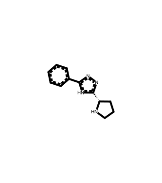 c1ccc(-c2nnc([C@@H]3CCCN3)[nH]2)cc1